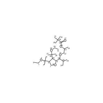 CCOC(C)(C)C1COC(C(OCC(C)OC(=O)C(C)(C)C)C(C)C)C1C(C)(C)OCC